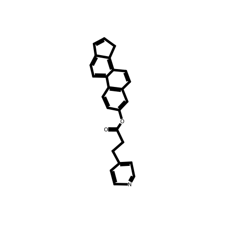 O=C(CCc1ccncc1)Oc1ccc2c(ccc3c4c(ccc32)C=CC4)c1